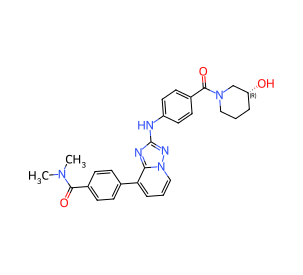 CN(C)C(=O)c1ccc(-c2cccn3nc(Nc4ccc(C(=O)N5CCC[C@@H](O)C5)cc4)nc23)cc1